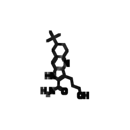 CC(C)(C)C1CCc2nc3c(CCCO)c(C(N)=O)[nH]c3cc2C1